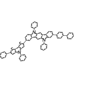 c1ccc(-c2ccc(-c3ccc4c5cc6c(cc5n(-c5ccccc5)c4c3)c3cc(-c4cc5c(s4)c4sc(-c7ccccc7)cc4n5-c4ccccc4)ccc3n6-c3ccccc3)cc2)cc1